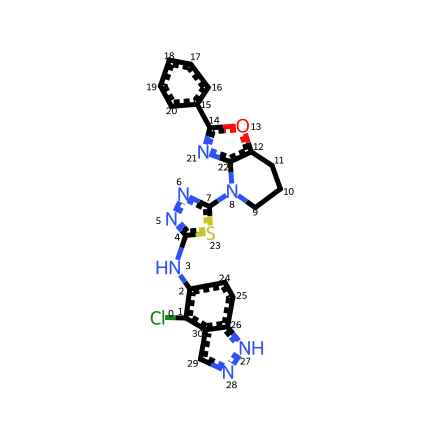 Clc1c(Nc2nnc(N3CCCc4oc(-c5ccccc5)nc43)s2)ccc2[nH]ncc12